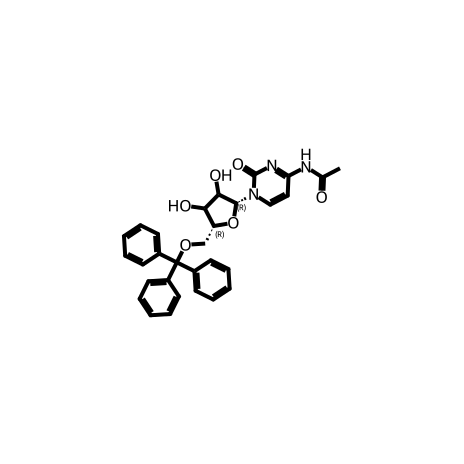 CC(=O)Nc1ccn([C@@H]2O[C@H](COC(c3ccccc3)(c3ccccc3)c3ccccc3)C(O)C2O)c(=O)n1